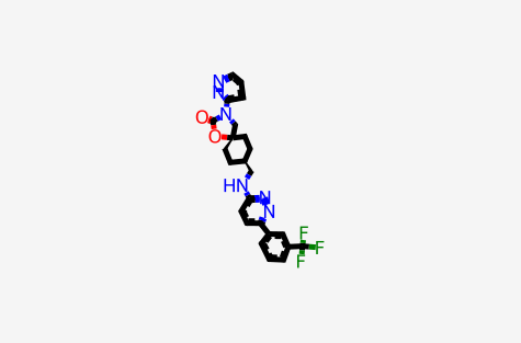 O=C1O[C@]2(CC[C@H](CNc3ccc(-c4cccc(C(F)(F)F)c4)nn3)CC2)CN1c1cccnn1